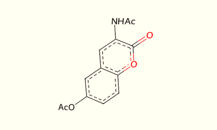 CC(=O)Nc1cc2cc(OC(C)=O)ccc2oc1=O